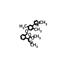 COC=C(C(=O)OC)c1ccccc1COc1cc(C)c(-c2ccn(C)n2)cc1C